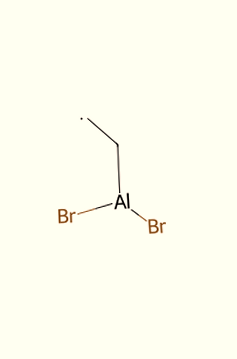 [CH2][CH2][Al]([Br])[Br]